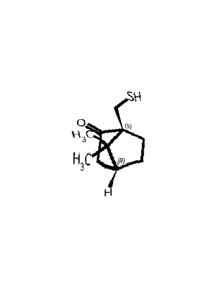 CC1(C)[C@@H]2CC[C@@]1(CS)C(=O)C2